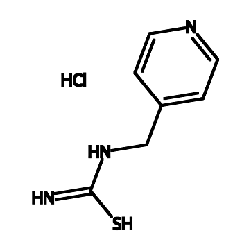 Cl.N=C(S)NCc1ccncc1